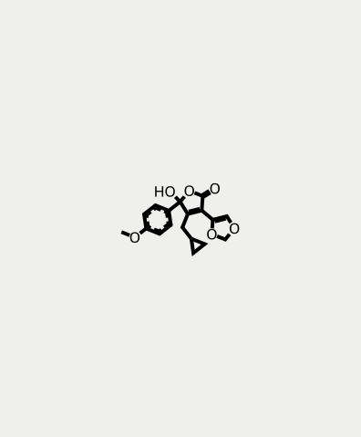 COc1ccc(C2(O)OC(=O)C(C3=COCO3)=C2CC2CC2)cc1